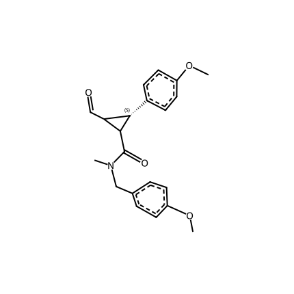 COc1ccc(CN(C)C(=O)C2C(C=O)[C@@H]2c2ccc(OC)cc2)cc1